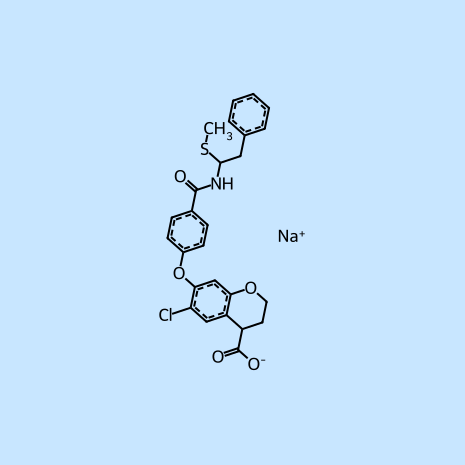 CSC(Cc1ccccc1)NC(=O)c1ccc(Oc2cc3c(cc2Cl)C(C(=O)[O-])CCO3)cc1.[Na+]